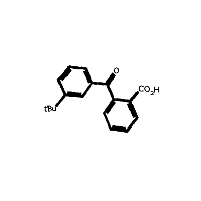 CC(C)(C)c1cccc(C(=O)c2ccccc2C(=O)O)c1